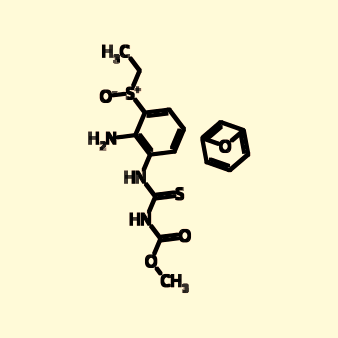 CC[S+]([O-])c1cccc(NC(=S)NC(=O)OC)c1N.c1cc2cc(c1)O2